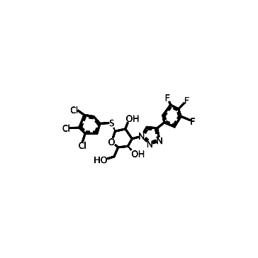 OCC1O[C@H](Sc2cc(Cl)c(Cl)c(Cl)c2)C(O)C(n2cc(-c3cc(F)c(F)c(F)c3)nn2)[C@H]1O